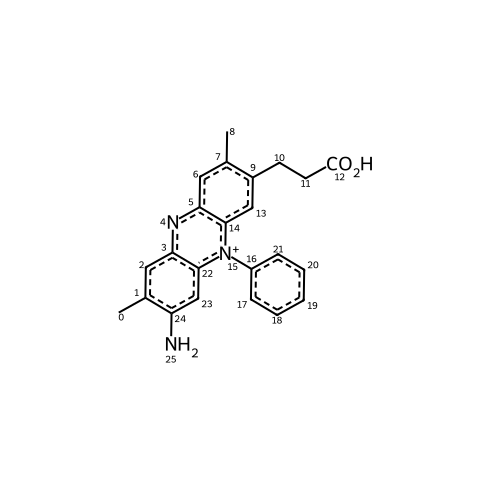 Cc1cc2nc3cc(C)c(CCC(=O)O)cc3[n+](-c3ccccc3)c2cc1N